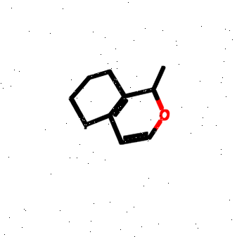 CC1OC=CC2=C1CCC[CH]2